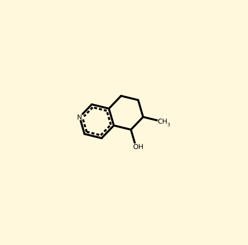 CC1CCc2cnccc2C1O